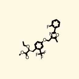 CCO[C@@H](Cc1ccc(OCc2nc(-c3ccccc3F)oc2C)cc1C(F)(F)F)C(=O)OC